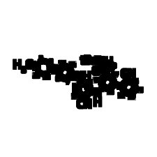 CN1CCN(c2ccc(Nc3ncc(C#N)c(Nc4cc(-c5ccccc5C#N)cc(S(=O)(=O)NC(C)(C)C)c4)n3)cc2)CC1